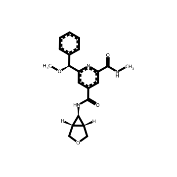 CNC(=O)c1cc(C(=O)N[C@H]2[C@@H]3COC[C@@H]32)cc([C@@H](OC)c2ccccc2)n1